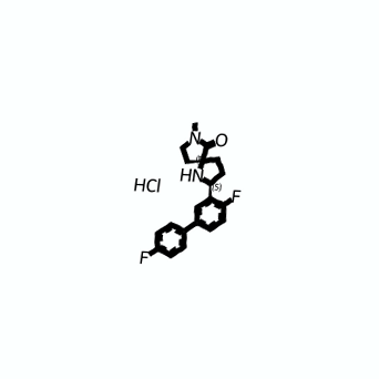 CN1CC[C@]2(CC[C@@H](c3cc(-c4ccc(F)cc4)ccc3F)N2)C1=O.Cl